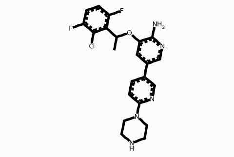 CC(Oc1cc(-c2ccc(N3CCNCC3)nc2)cnc1N)c1c(F)ccc(F)c1Cl